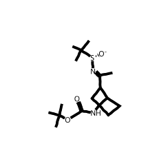 C/C(=N\[S@+]([O-])C(C)(C)C)C1CC2(NC(=O)OC(C)(C)C)CCC12